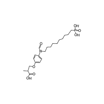 CC(COc1ccc(N(C=O)CCCCCCCCCCP(=O)(O)O)cc1)C(=O)O